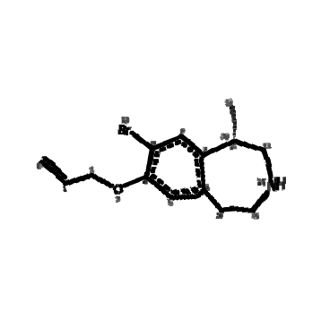 C=CCOc1cc2c(cc1Br)[C@H](C)CNCC2